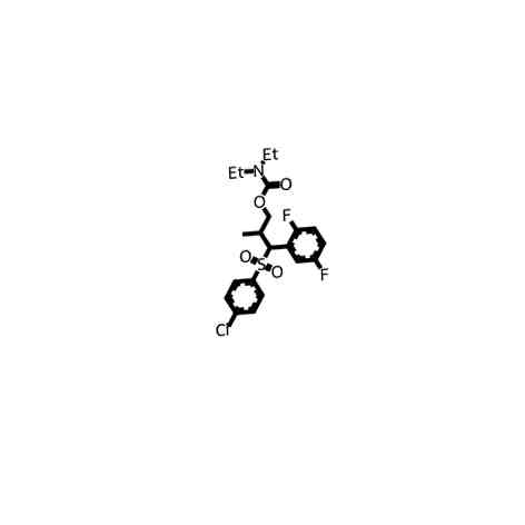 CCN(CC)C(=O)OCC(C)C(c1cc(F)ccc1F)S(=O)(=O)c1ccc(Cl)cc1